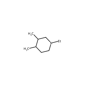 CCN1CCC(C)C(C)C1